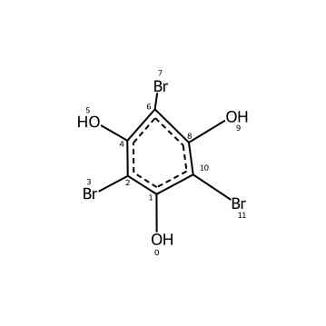 Oc1c(Br)c(O)c(Br)c(O)c1Br